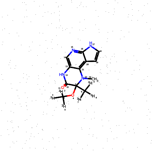 [2H]C([2H])([2H])OC1(C([2H])([2H])[2H])C(=O)Nc2cnc3[nH]ccc3c2N1C